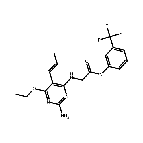 C/C=C/c1c(NCC(=O)Nc2cccc(C(F)(F)F)c2)nc(N)nc1OCC